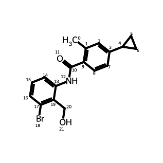 Cc1cc(C2CC2)ccc1C(=O)Nc1cccc(Br)c1CO